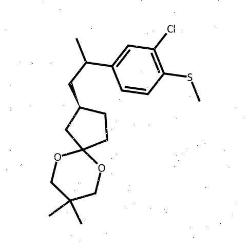 CSc1ccc(C(C)C[C@H]2CCC3(C2)OCC(C)(C)CO3)cc1Cl